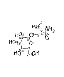 CN[C@@H](COC1OC(CO)C(O)C(O)C1O)C(N)=O